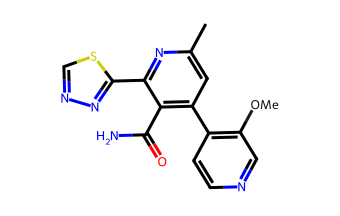 COc1cnccc1-c1cc(C)nc(-c2nncs2)c1C(N)=O